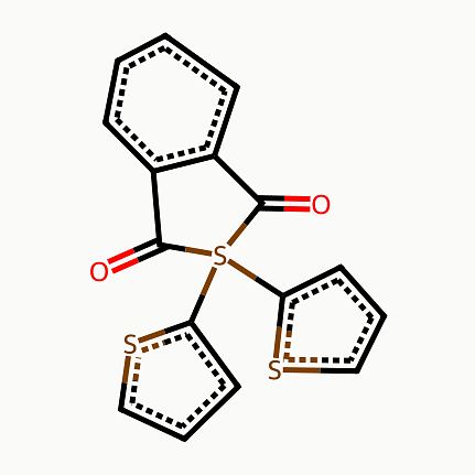 O=C1c2ccccc2C(=O)S1(c1cccs1)c1cccs1